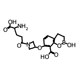 NC(CCC(=O)N1CC(Oc2ccc3c(c2C(=O)O)OB(O)CC3)C1)C(=O)O